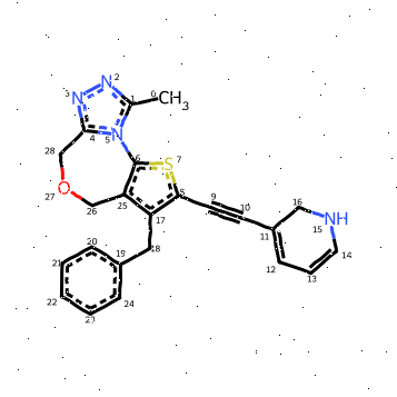 Cc1nnc2n1-c1sc(C#CC3=CC=CNC3)c(Cc3ccccc3)c1COC2